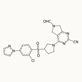 N#Cc1nc2c(c(N3CCC(S(=O)(=O)c4ccc(-n5cccn5)cc4Cl)C3)n1)CN(C=O)C2